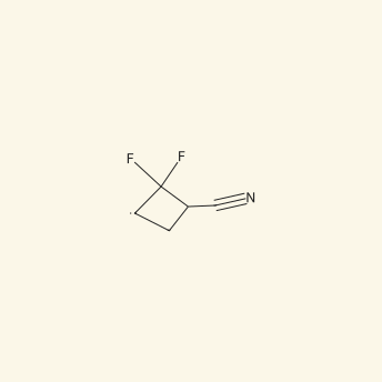 N#CC1C[CH]C1(F)F